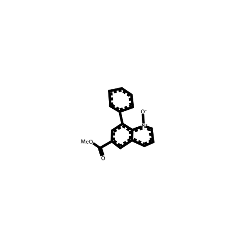 COC(=O)c1cc(-c2ccccc2)c2c(ccc[n+]2[O-])c1